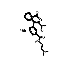 Br.CC(Br)c1oc(=O)c2ccccc2c1-c1cccc(C(=O)NCCN(C)C)c1